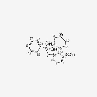 OC1=CC=CC(O)(CC(S)c2ccccc2)C1=C1CCCCC1